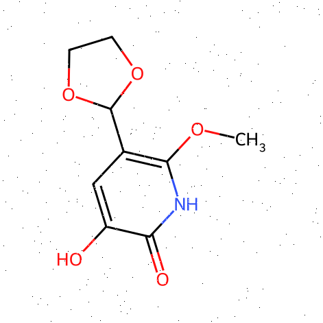 COc1[nH]c(=O)c(O)cc1C1OCCO1